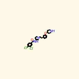 O=C(N[C@H]1CCN(CCc2cccc(OC3CCNCC3)c2)C1)c1ccc(Cl)c(Cl)c1